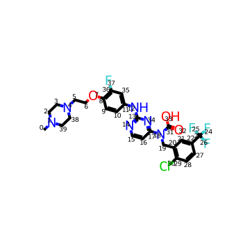 CN1CCN(CCOc2ccc(Nc3nccc(N(Cc4cc(C(F)(F)F)ccc4Cl)C(=O)O)n3)cc2F)CC1